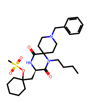 CCCCN1C(=O)[C@@H](CC2(OS(C)(=O)=O)CCCCC2)NC(=O)C12CCN(Cc1ccccc1)CC2